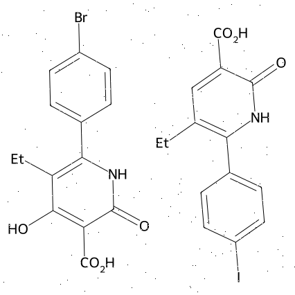 CCc1c(-c2ccc(Br)cc2)[nH]c(=O)c(C(=O)O)c1O.CCc1cc(C(=O)O)c(=O)[nH]c1-c1ccc(I)cc1